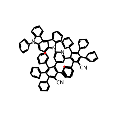 N#Cc1c(-c2ccccc2)c(-c2ccccc2)c(-c2ccccc2)c(-c2cc(-c3c(-c4ccccc4)c(C#N)c(-c4ccccc4)c(-c4ccccc4)c3-c3ccccc3)nc(-n3c4ccccc4c4c5c6ccccc6n(-c6ccccc6)c5ccc43)c2)c1-c1ccccc1